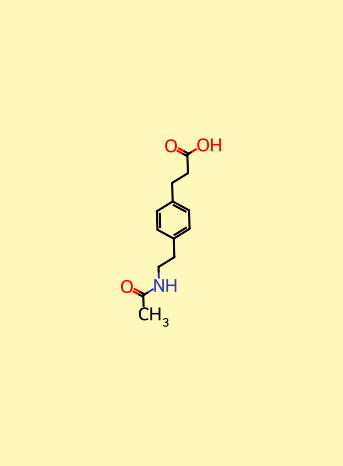 CC(=O)NCCc1ccc(CCC(=O)O)cc1